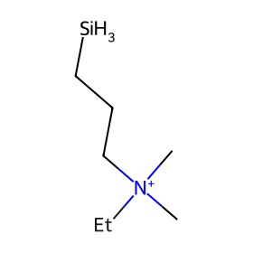 CC[N+](C)(C)CCC[SiH3]